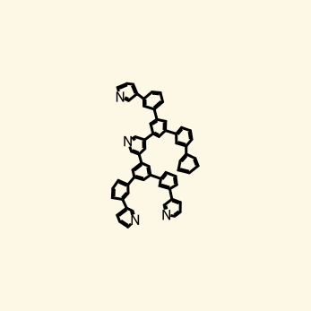 c1ccc(-c2cccc(-c3cc(-c4cccc(-c5cccnc5)c4)cc(-c4cncc(-c5cc(-c6cccc(-c7cccnc7)c6)cc(-c6cccc(-c7cccnc7)c6)c5)c4)c3)c2)cc1